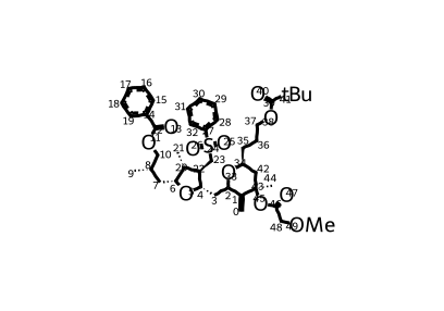 C=C1C(C[C@@H]2O[C@H](C[C@H](C)COC(=O)c3ccccc3)[C@H](C)[C@H]2CS(=O)(=O)c2ccccc2)O[C@@H](CCCOC(=O)C(C)(C)C)C[C@@]1(C)OC(=O)COC